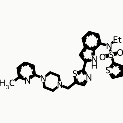 CCN(c1cccc2cc(-c3ncc(CN4CCN(c5cccc(C)n5)CC4)s3)[nH]c12)S(=O)(=O)c1cccs1